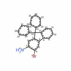 Nc1cc2c(cc1Br)-c1ccccc1C2(c1ccccc1)c1ccccc1